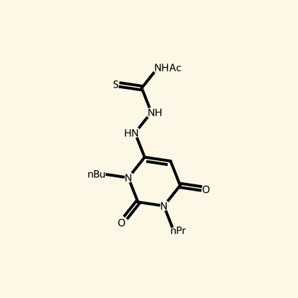 CCCCn1c(NNC(=S)NC(C)=O)cc(=O)n(CCC)c1=O